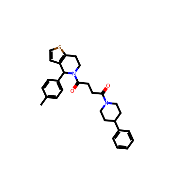 Cc1ccc(C2c3ccsc3CCN2C(=O)CCC(=O)N2CCC(c3ccccc3)CC2)cc1